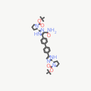 CC(C)(C)OC(=O)N1CCC[C@H]1c1ncc(-c2ccc(-c3ccc(-c4[nH]c([C@@H]5CCCN5C(=O)OC(C)(C)C)nc4C(N)=O)cc3)cc2)[nH]1